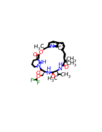 CC(C)[C@@H]1NC(=O)C(C)(C)/C=C/c2ccc3ccc(nc3c2)[C@@H](C)OC(=O)[C@@H]2CCCN(N2)C(=O)[C@H](COC(F)F)NC1=O